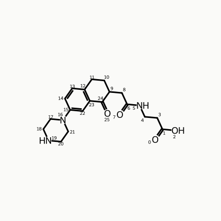 O=C(O)CCNC(=O)CC1CCc2ccc(N3CCNCC3)cc2C1=O